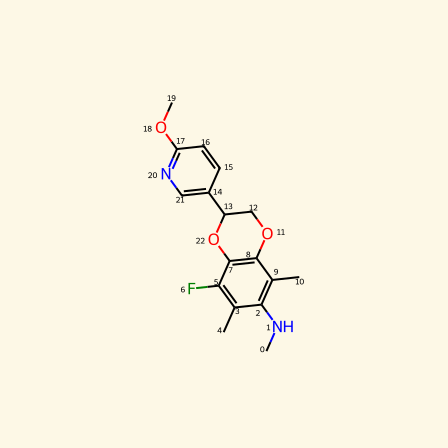 CNc1c(C)c(F)c2c(c1C)OCC(c1ccc(OC)nc1)O2